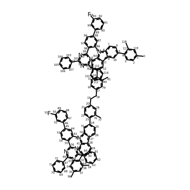 Cc1ccc(-c2ccc3c(c2)c2cc(-c4ccc(CCc5ccc(-c6ccc7c8ccc(-c9ccc(C)cc9C)cc8n(-c8cc(-c9cccc(F)c9)ccc8-c8nc(-c9ccccc9)nc(-c9ccccc9)n8)c7c6)c(C)c5)cc4C)ccc2n3-c2cc(-c3cccc(F)c3)ccc2-c2nc(-c3ccccc3)nc(-c3ccccc3)n2)c(C)c1